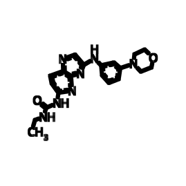 CCNC(=O)Nc1ccc2ncc(Nc3cccc(N4CCOCC4)c3)nc2n1